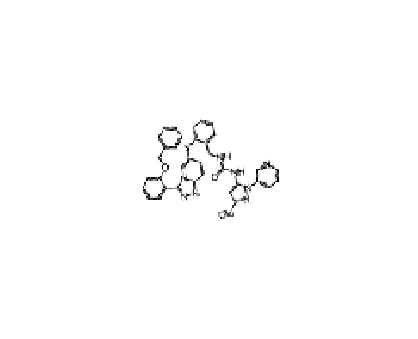 CC(C)(C)c1cc(NC(=O)NCc2ccccc2Sc2ccc3nnc(-c4ccccc4OCc4ccccc4)n3c2)n(-c2cccnc2)n1